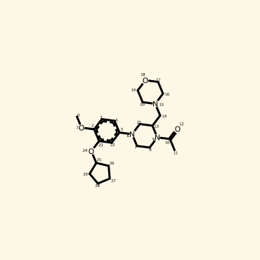 COc1ccc(N2CCN(C(C)=O)C(CN3CCOCC3)C2)cc1OC1CCCC1